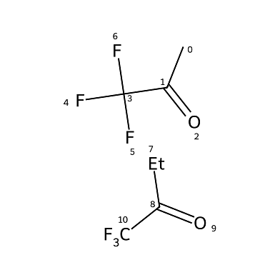 CC(=O)C(F)(F)F.CCC(=O)C(F)(F)F